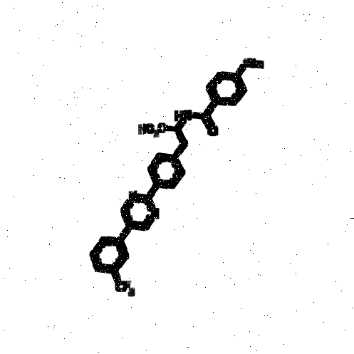 CC(C)(C)c1ccc(C(=O)N[C@@H](Cc2ccc(-c3ncc(-c4cccc(C(F)(F)F)c4)cn3)cc2)C(=O)O)cc1